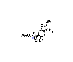 C/C=C(/CCOC)[C@](C)(CC)[C@@H]1CCCC[C@H]([C@H](C)CCCC(C)C)[C@@H](C)CC1